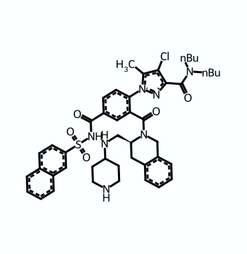 CCCCN(CCCC)C(=O)c1nn(-c2ccc(C(=O)NS(=O)(=O)c3ccc4ccccc4c3)cc2C(=O)N2Cc3ccccc3C[C@H]2CNC2CCNCC2)c(C)c1Cl